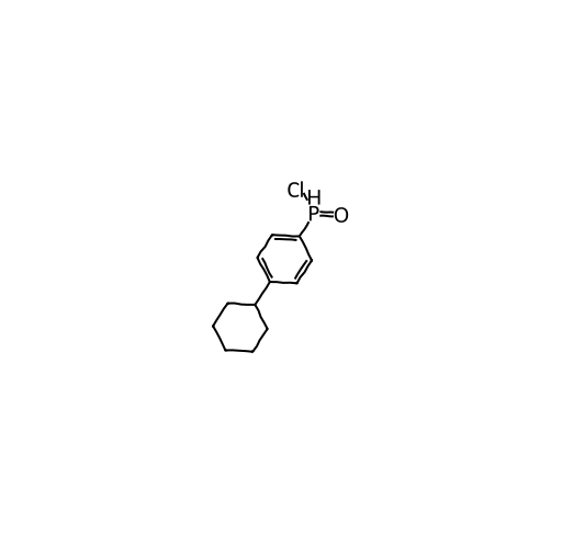 O=[PH](Cl)c1ccc(C2CCCCC2)cc1